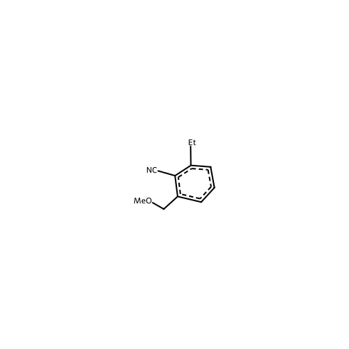 CCc1cccc(COC)c1C#N